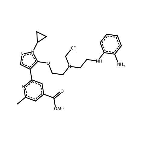 COC(=O)c1cc(C)nc(-c2cnn(C3CC3)c2OCCN(CCNc2ccccc2N)CC(F)(F)F)c1